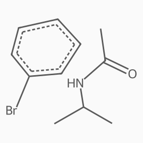 Brc1ccccc1.CC(=O)NC(C)C